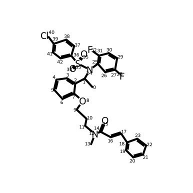 CC(c1ccccc1OCCCN(C)C(=O)C=Cc1ccccc1)N(c1cc(F)ccc1F)S(=O)(=O)c1ccc(Cl)cc1